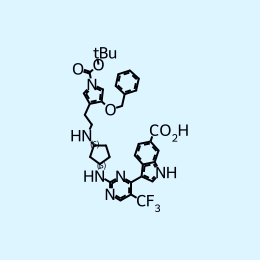 CC(C)(C)OC(=O)n1cc(CCN[C@H]2CC[C@H](Nc3ncc(C(F)(F)F)c(-c4c[nH]c5cc(C(=O)O)ccc45)n3)C2)c(OCc2ccccc2)c1